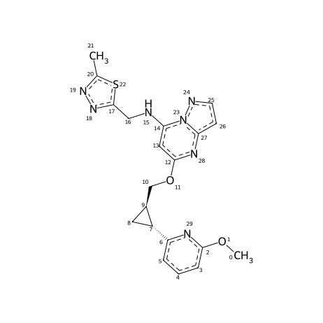 COc1cccc([C@@H]2C[C@H]2COc2cc(NCc3nnc(C)s3)n3nccc3n2)n1